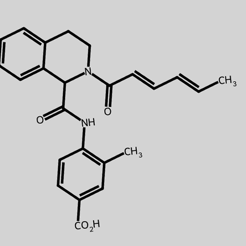 C/C=C/C=C/C(=O)N1CCc2ccccc2C1C(=O)Nc1ccc(C(=O)O)cc1C